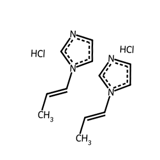 CC=Cn1ccnc1.CC=Cn1ccnc1.Cl.Cl